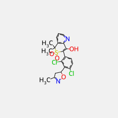 CC1=NOC(c2c(Cl)ccc(C3=C(O)c4ncccc4C(C)(C)S3(=O)=O)c2Cl)C1